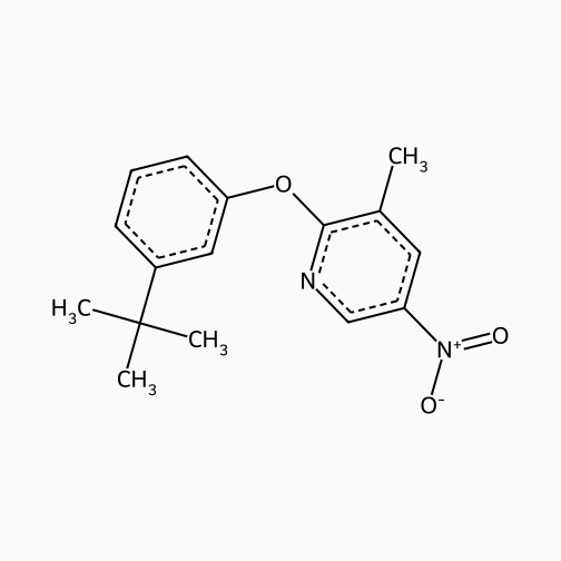 Cc1cc([N+](=O)[O-])cnc1Oc1cccc(C(C)(C)C)c1